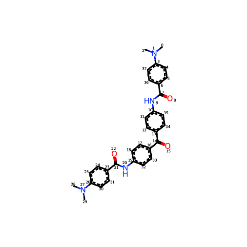 CN(C)c1ccc(C(=O)Nc2ccc(C(=O)c3ccc(NC(=O)c4ccc(N(C)C)cc4)cc3)cc2)cc1